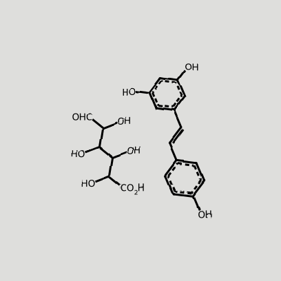 O=CC(O)C(O)C(O)C(O)C(=O)O.Oc1ccc(C=Cc2cc(O)cc(O)c2)cc1